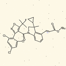 CC(C)(C)OC(=O)/C=C/c1cccc2c1C(C)(C1CC1)CN2C(=O)c1c(-c2c(Cl)cc(Cl)cc2Cl)noc1C(C)(C)F